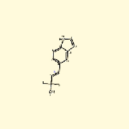 CC(C)(O)/C=C/c1ccc2[nH]ccc2c1